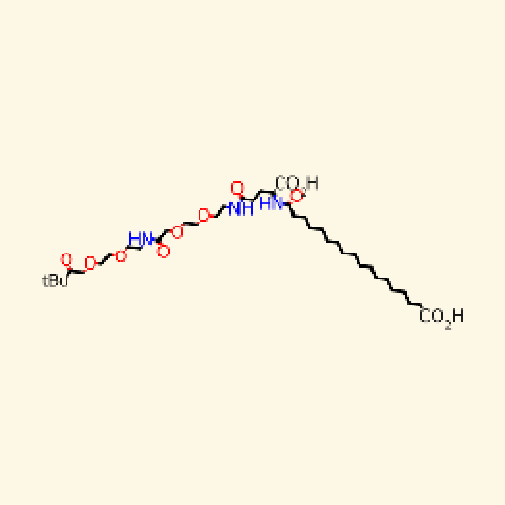 CC(C)(C)C(=O)COCCOCCNC(=O)COCCOCCNC(=O)CC[C@@H](NC(=O)CCCCCCCCCCCCCCCCC(=O)O)C(=O)O